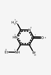 CCNc1[nH]c(C)nc(=O)c1Br